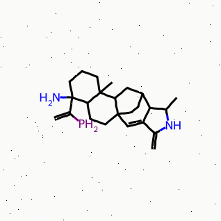 C=C1NC(C)C2C1=CC13CCC2CC1C1(C)CCCC(N)(C(=C)P)C1CC3